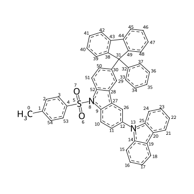 Cc1ccc(S(=O)(=O)n2c3ccc(-n4c5ccccc5c5ccccc54)cc3c3cc(C4(c5ccccc5)c5ccccc5-c5ccccc54)ccc32)cc1